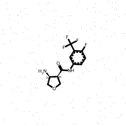 N[C@@H]1COC[C@@H]1C(=O)Nc1ccc(F)c(C(F)(F)F)c1